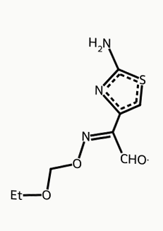 CCOCO/N=C(\[C]=O)c1csc(N)n1